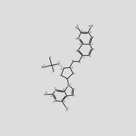 CC(C)(O)O[C@H]1CC(n2ccc3c(Cl)nc(Cl)nc32)CC1CCc1ccc2cc(Cl)c(Cl)nc2c1